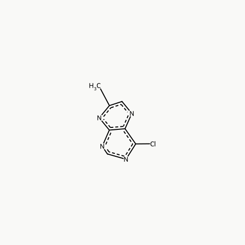 Cc1cnc2c(Cl)ncnc2n1